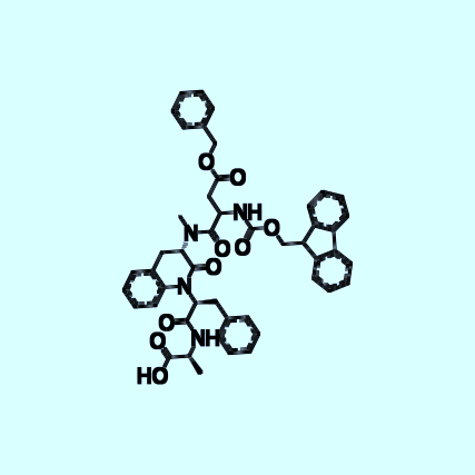 C[C@H](NC(=O)[C@H](Cc1ccccc1)N1C(=O)[C@@H](N(C)C(=O)C(CC(=O)OCc2ccccc2)NC(=O)OCC2c3ccccc3-c3ccccc32)Cc2ccccc21)C(=O)O